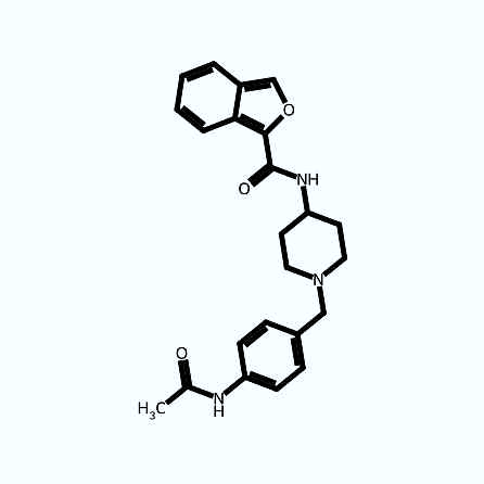 CC(=O)Nc1ccc(CN2CCC(NC(=O)c3occ4ccccc34)CC2)cc1